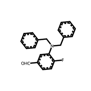 O=Cc1ccc(F)c(N(Cc2ccccc2)Cc2ccccc2)c1